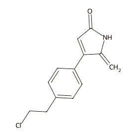 C=C1NC(=O)C=C1c1ccc(CCCl)cc1